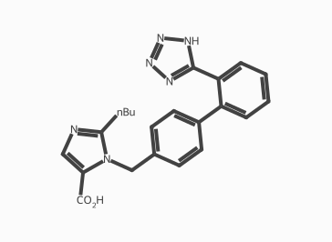 CCCCc1ncc(C(=O)O)n1Cc1ccc(-c2ccccc2-c2nnn[nH]2)cc1